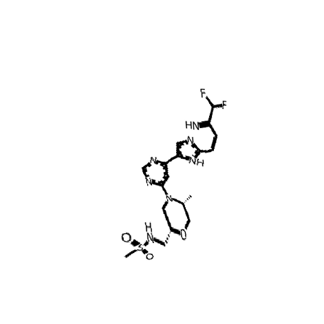 C[C@@H]1CO[C@H](CNS(C)(=O)=O)CN1c1cc(-c2cnc(/C=C\C(=N)C(F)F)[nH]2)ncn1